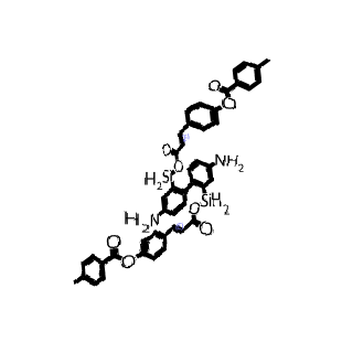 Cc1ccc(C(=O)Oc2ccc(/C=C/C(=O)O[SiH2]c3cc(N)ccc3-c3ccc(N)cc3[SiH2]OC(=O)/C=C/c3ccc(OC(=O)c4ccc(C)cc4)cc3)cc2)cc1